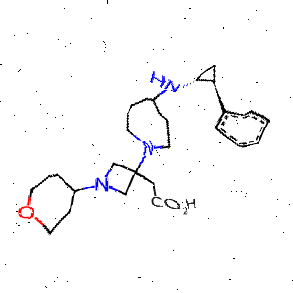 O=C(O)CC1(N2CCC(N[C@@H]3C[C@H]3c3ccccc3)CC2)CN(C2CCOCC2)C1